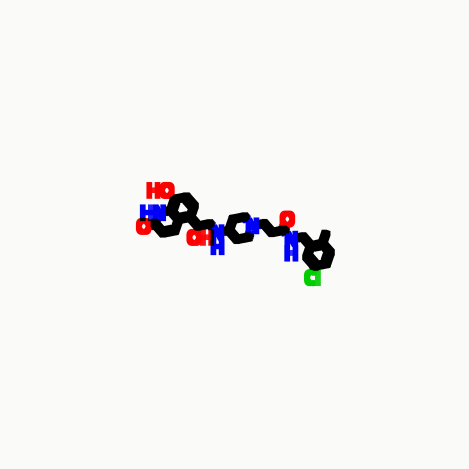 Cc1ccc(Cl)cc1CNC(=O)CCN1CCC(NC[C@@H](O)c2ccc(O)c3[nH]c(=O)ccc23)CC1